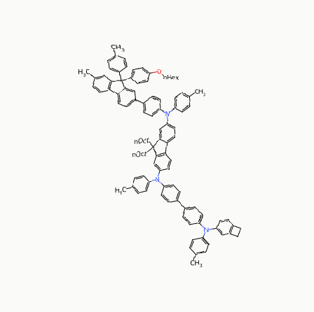 CCCCCCCCC1(CCCCCCCC)c2cc(N(c3ccc(C)cc3)c3ccc(-c4ccc(N(c5ccc(C)cc5)c5ccc6c(c5)CC6)cc4)cc3)ccc2-c2ccc(N(c3ccc(C)cc3)c3ccc(-c4ccc5c(c4)C(c4ccc(C)cc4)(c4ccc(OCCCCCC)cc4)c4cc(C)ccc4-5)cc3)cc21